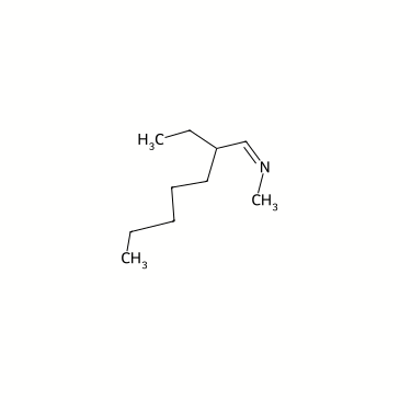 CCCCCC(/C=N\C)CC